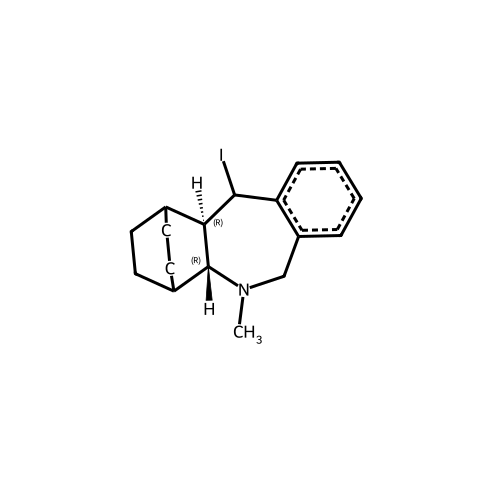 CN1Cc2ccccc2C(I)[C@@H]2C3CCC(CC3)[C@H]21